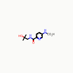 CC(C)(O)CNC(=O)c1ccc(NC(=O)O)cn1